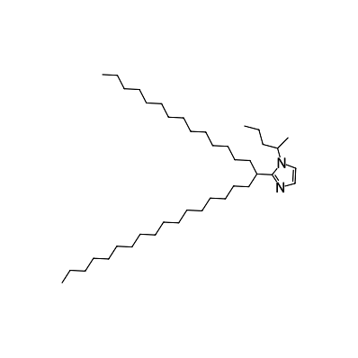 CCCCCCCCCCCCCCCCCC(CCCCCCCCCCCCCC)c1nccn1C(C)CCC